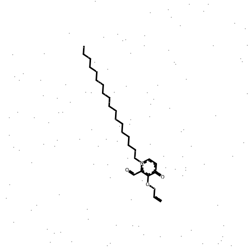 C=CCOc1c(C=O)n(CCCCCCCCCCCCCCCCCC)ccc1=O